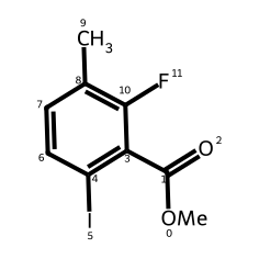 COC(=O)c1c(I)ccc(C)c1F